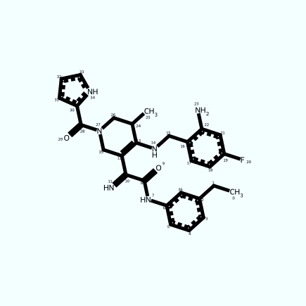 CCc1cccc(NC(=O)C(=N)C2=C(NCc3ccc(F)cc3N)C(C)CN(C(=O)c3ccc[nH]3)C2)c1